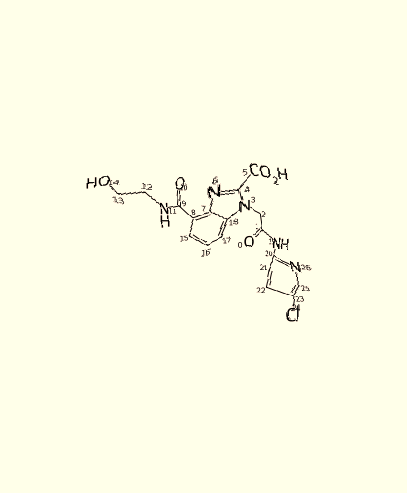 O=C(Cn1c(C(=O)O)nc2c(C(=O)NCCO)cccc21)Nc1ccc(Cl)cn1